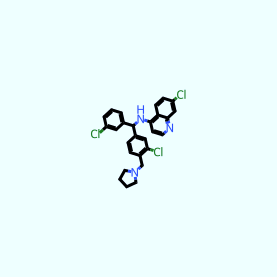 Clc1cccc(C(Nc2ccnc3cc(Cl)ccc23)c2ccc(CN3CCCC3)c(Cl)c2)c1